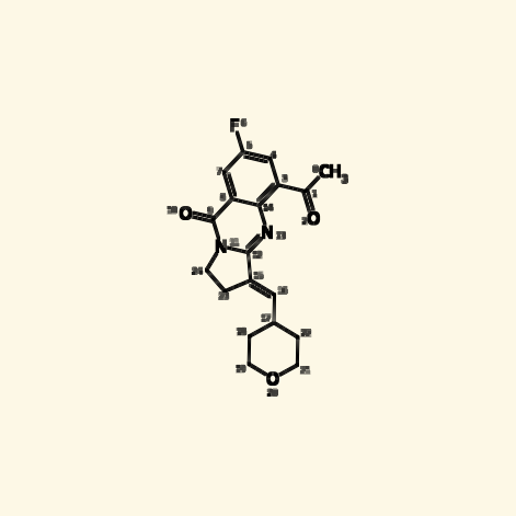 CC(=O)c1cc(F)cc2c(=O)n3c(nc12)C(=CC1CCOCC1)CC3